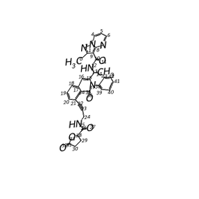 Cc1nn2cccnc2c1C(=O)N[C@@H](C)c1cc2cccc(C#CCNC(=O)[C@H]3CCC(=O)O3)c2c(=O)n1-c1ccccc1